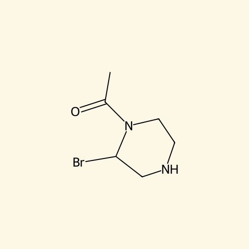 CC(=O)N1CCNCC1Br